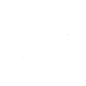 CSc1ncn(Cc2ccc(-c3ccccc3C(=O)O)cc2)c1C(=O)O